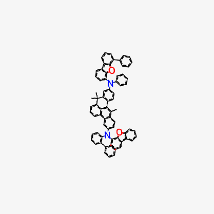 Cc1c2c3c(cccc3c3cc(N(c4ccccc4-c4ccccc4)c4cccc5c4oc4ccccc45)ccc13)C(C)(C)c1cc(N(c3ccccc3)c3cccc4c3oc3c(-c5ccccc5)cccc34)ccc1-2